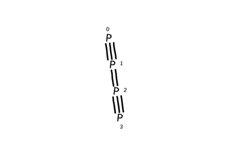 P#P=P#P